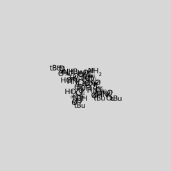 CN(C(=O)OC(C)(C)C)[C@@H]1[C@@H](O)[C@@H](O[C@@H]2[C@@H](O)[C@H](O[C@H]3OC(CN)=CC[C@H]3NC(=O)C(CCCNC(=O)OC(C)(C)C)NC(=O)OC(C)(C)C)[C@@H](NC(=O)OC(C)(C)C)C[C@H]2NC(=O)[C@@H](O)CCNC(=O)OC(C)(C)C)OC[C@]1(C)O